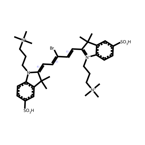 CC1(C)C(/C=C/C(Br)=C/C=C2/N(CCC[N+](C)(C)C)c3ccc(S(=O)(=O)O)cc3C2(C)C)=[N+](CCC[N+](C)(C)C)c2ccc(S(=O)(=O)O)cc21